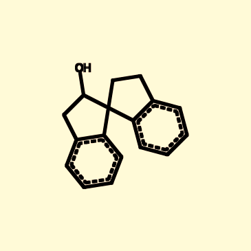 OC1Cc2ccccc2C12CCc1ccccc12